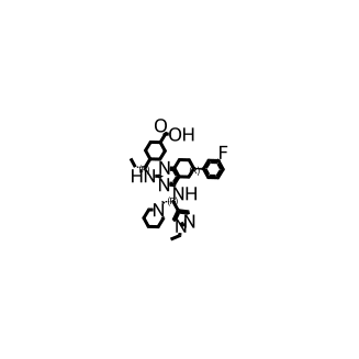 CC[C@@H](Nc1nc2c(c(N[C@@H](CN3CCCCC3)c3cnn(CC)c3)n1)C[C@H](c1cccc(F)c1)CC2)C1CCC(C(=O)O)CC1